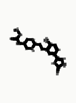 CC(C)(C)OC(=O)NC1COC(CCc2cc(-c3n[nH]c(=O)o3)ccc2C(F)(F)F)OC1